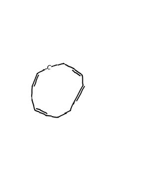 C1=CCCC=CCC=CCCC=C1